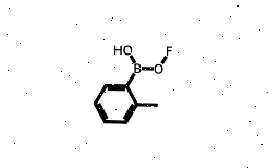 Cc1ccccc1B(O)OF